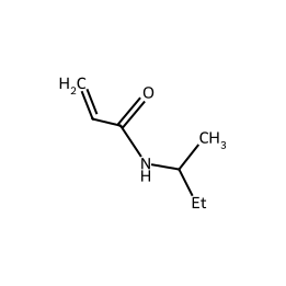 [CH2]CC(C)NC(=O)C=C